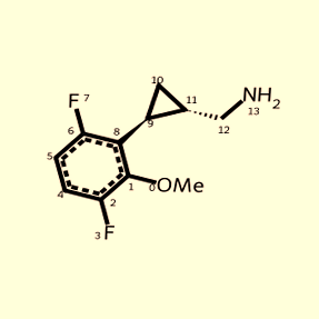 COc1c(F)ccc(F)c1[C@H]1C[C@@H]1CN